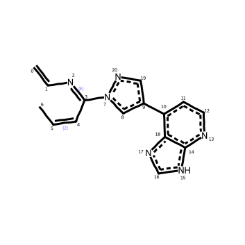 C=C/N=C(\C=C/C)n1cc(-c2ccnc3[nH]cnc23)cn1